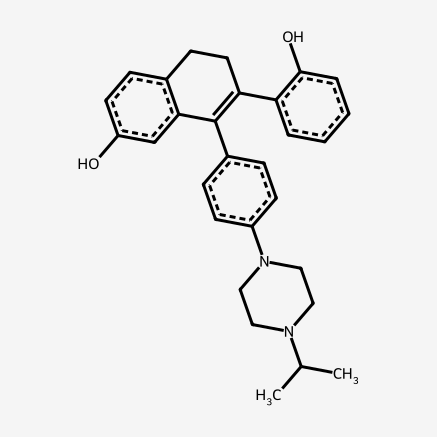 CC(C)N1CCN(c2ccc(C3=C(c4ccccc4O)CCc4ccc(O)cc43)cc2)CC1